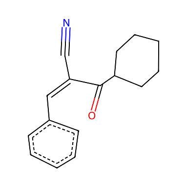 N#CC(=Cc1ccccc1)C(=O)C1CCCCC1